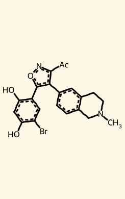 CC(=O)c1noc(-c2cc(Br)c(O)cc2O)c1-c1ccc2c(c1)CCN(C)C2